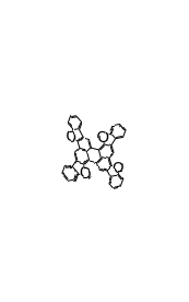 c1ccc2c(c1)oc1c2cc2c3c1cc1c4ccccc4oc1c3c1cc3c4ccccc4oc3c3cc4c5ccccc5oc4c2c31